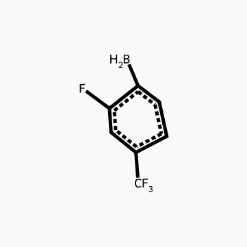 Bc1ccc(C(F)(F)F)cc1F